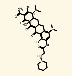 CN(C)c1cc(NC(=O)CNN2CCCCC2)c(O)c2c1CC1CC3[C@H](N(C)C)C(O)=C(C(N)=O)C(=O)[C@@]3(O)C(O)=C1C2=O